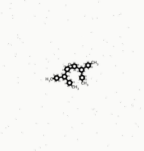 Cc1ccc(-c2cc(-c3ccc(C)cc3)cc(-c3ccc4oc5ccc(-c6cc(-c7ccc(C)cc7)cc(-c7ccc(C)cc7)c6)cc5c4c3)c2)cc1